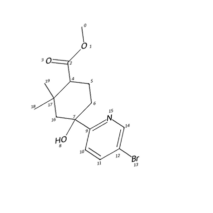 COC(=O)C1CCC(O)(c2ccc(Br)cn2)CC1(C)C